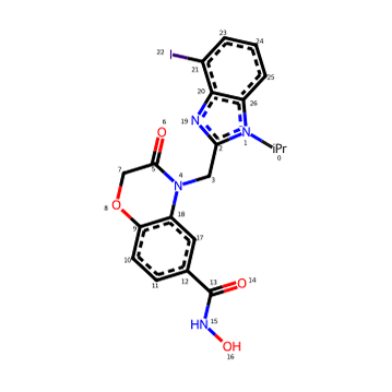 CC(C)n1c(CN2C(=O)COc3ccc(C(=O)NO)cc32)nc2c(I)cccc21